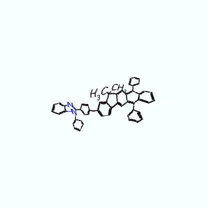 CC1(C)c2cc(-c3ccc(-c4nc5ccccc5n4-c4ccccc4)cc3)ccc2-c2cc3c(-c4ccccc4)c4ccccc4c(-c4ccccc4)c3cc21